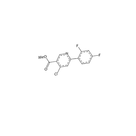 COC(=O)c1cnc(-c2ccc(F)cc2F)cc1Cl